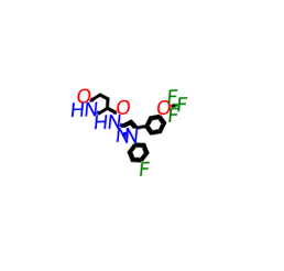 O=C1CCC(C(=O)Nc2cc(-c3cccc(OC(F)(F)F)c3)n(-c3ccc(F)cc3)n2)CN1